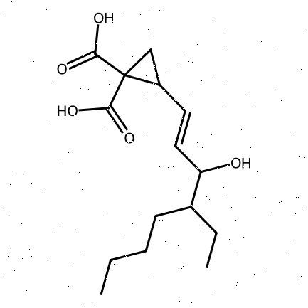 CCCCC(CC)C(O)C=CC1CC1(C(=O)O)C(=O)O